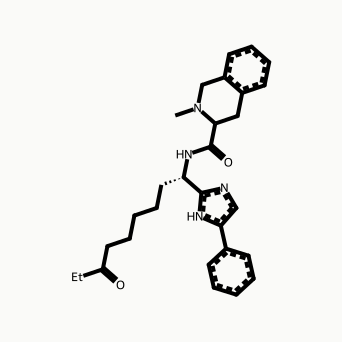 CCC(=O)CCCCC[C@H](NC(=O)C1Cc2ccccc2CN1C)c1ncc(-c2ccccc2)[nH]1